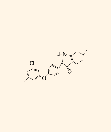 Cc1cc(Cl)cc(Oc2ccc(-c3c(C)[nH]c4c(c3=O)CCC(C)C4)cc2)c1